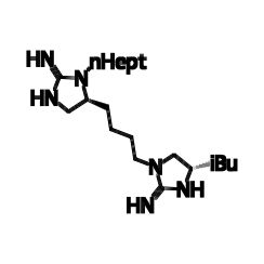 CCCCCCCN1C(=N)NC[C@@H]1CCCCN1C[C@H](C(C)CC)NC1=N